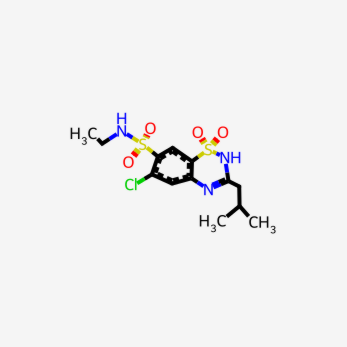 CCNS(=O)(=O)c1cc2c(cc1Cl)N=C(CC(C)C)NS2(=O)=O